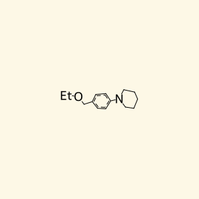 CCOCc1ccc(N2CCCCC2)cc1